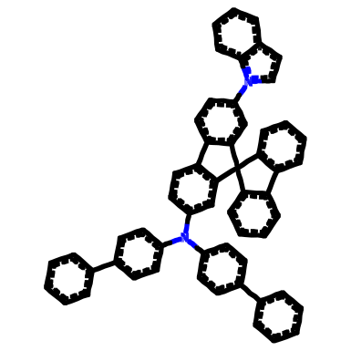 c1ccc(-c2ccc(N(c3ccc(-c4ccccc4)cc3)c3ccc4c(c3)C3(c5ccccc5-c5ccccc53)c3cc(-n5ccc6ccccc65)ccc3-4)cc2)cc1